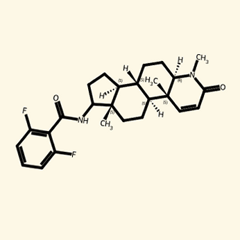 CN1C(=O)C=C[C@]2(C)[C@H]3CC[C@]4(C)C(NC(=O)c5c(F)cccc5F)CC[C@H]4[C@@H]3CC[C@@H]12